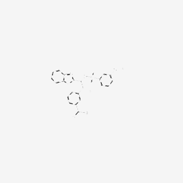 CC(=O)Nc1ccc(OC(C)=O)c(S(=O)(=O)NC(Cc2cccc(C(=N)N)c2)c2nc3ccccc3s2)c1